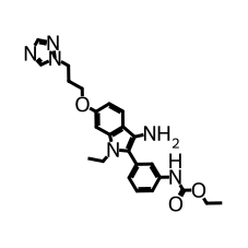 CCOC(=O)Nc1cccc(-c2c(N)c3ccc(OCCCn4cncn4)cc3n2CC)c1